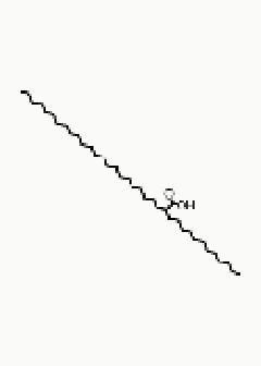 CCCCCCCCCCCCCCCCCCCCCCC=C(CCCCCCCCCCCC)C(=O)O